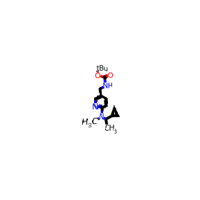 CC(C1CC1)N(C)c1ccc(CNC(=O)OC(C)(C)C)cn1